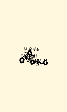 COc1cc(O)cc(Nc2nc3ccccc3nc2NS(=O)(=O)c2cccc(NC(=O)CCc3cccnc3)c2)c1